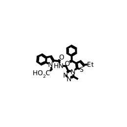 CCc1cc(C(=O)c2ccccc2)c(-n2c(C)nnc2CNC(=O)c2cc3ccccc3n2CC(=O)O)s1